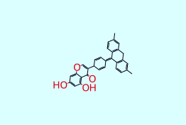 Cc1ccc2c(c1)Cc1cc(C)ccc1C2=C1C=CC(c2coc3cc(O)cc(O)c3c2=O)C=C1